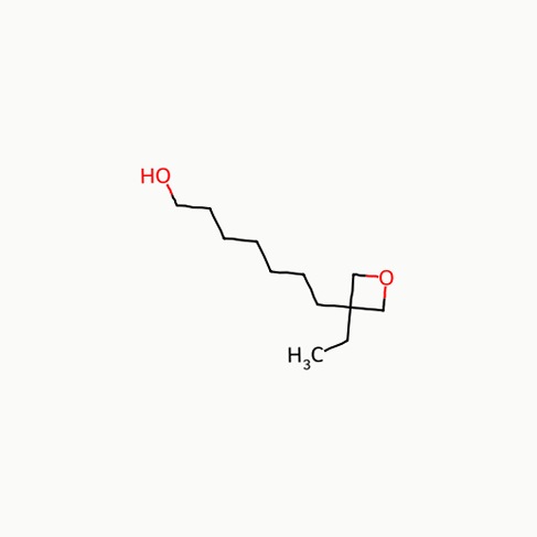 CCC1(CCCCCCCO)COC1